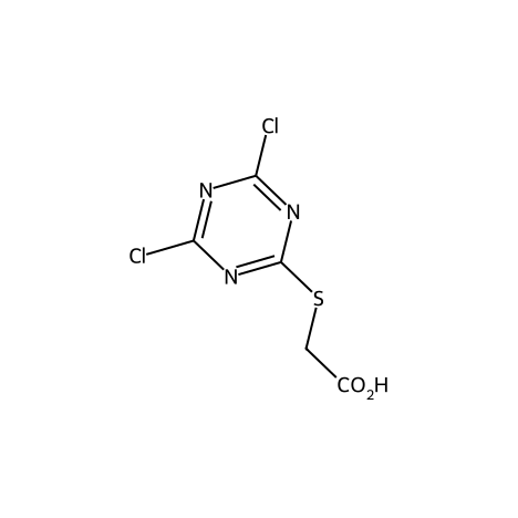 O=C(O)CSc1nc(Cl)nc(Cl)n1